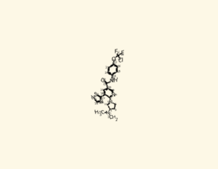 CN(C)[C@@H]1CCN(c2ncc(C(=O)Nc3ccc(OC(F)(F)Cl)cc3)cc2-c2ncns2)C1